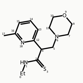 CCNC(=S)C(CN1CCOCC1)c1cccc(C)n1